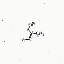 CCCC/C(C)=C\I